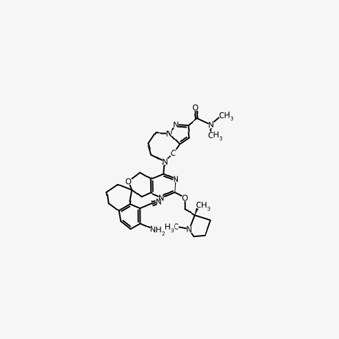 CN(C)C(=O)c1cc2n(n1)CCCN(c1nc(OC[C@]3(C)CCCN3C)nc3c1COC1(CCCc4ccc(N)c(C#N)c41)C3)C2